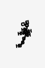 B=CCOCCOCCNc1c(C=N)nc(NCc2ccc(Cl)c(Cl)c2)[nH]c1=O